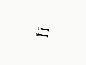 [F][Rb].[Li][F]